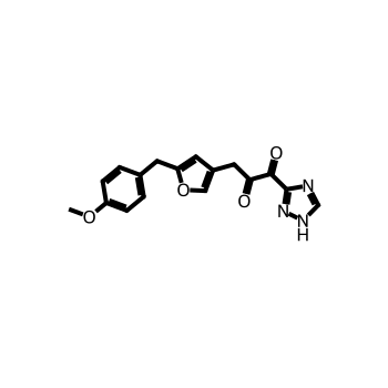 COc1ccc(Cc2cc(CC(=O)C(=O)c3nc[nH]n3)co2)cc1